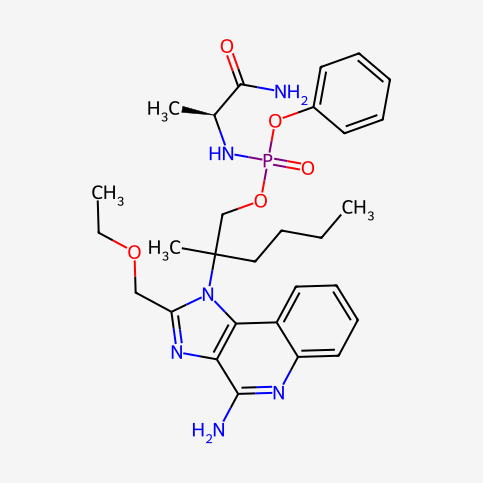 CCCCC(C)(COP(=O)(N[C@@H](C)C(N)=O)Oc1ccccc1)n1c(COCC)nc2c(N)nc3ccccc3c21